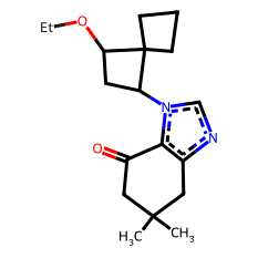 CCOC1CC(n2cnc3c2C(=O)CC(C)(C)C3)C12CCC2